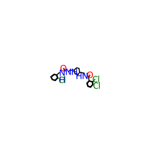 O=C(NCc1ccccc1Cl)NCC1CCC(CNC(=O)c2cccc(Cl)c2Cl)CC1